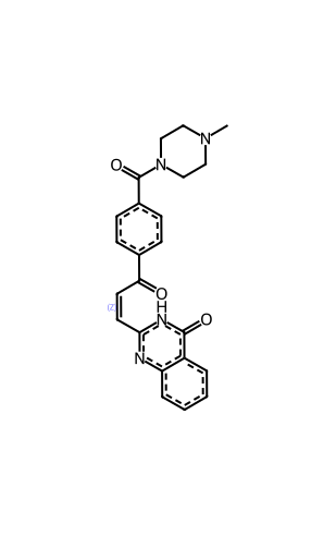 CN1CCN(C(=O)c2ccc(C(=O)/C=C\c3nc4ccccc4c(=O)[nH]3)cc2)CC1